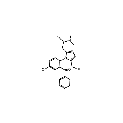 CCC(Cc1nnc(CO)n1-c1ccc(Cl)cc1C(=O)c1ccccc1)N(C)C